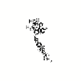 C=CC(=O)N1CC(S(=O)(=O)c2ccc(N3CC(CN4CCC([C@@](CN(C)C)(c5cccc(F)c5)[C@H]5CCC[C@@H]5NC(=O)O)CC4)C3)cc2)C1